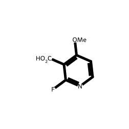 COc1ccnc(F)c1C(=O)O